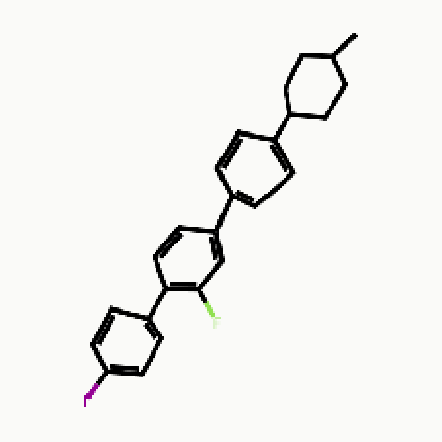 CC1CCC(c2ccc(-c3ccc(-c4ccc(I)cc4)c(F)c3)cc2)CC1